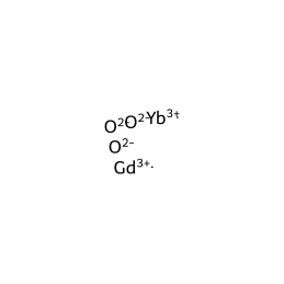 [Gd+3].[O-2].[O-2].[O-2].[Yb+3]